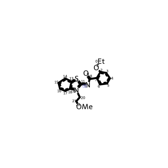 CCOc1ccccc1C(=O)/N=c1\sc2ccccc2n1CCOC